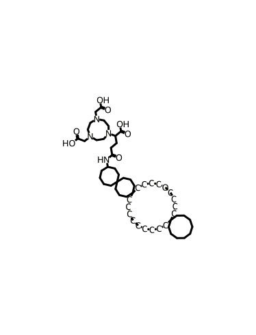 O=C(O)CN1CCN(CC(=O)O)CCN(C(CCC(=O)NC2CCCCC3(CCCC4(CCCCCCCCCC5(CCCCCCCCC5)CCCCOCCCC4)CCC3)CC2)C(=O)O)CC1